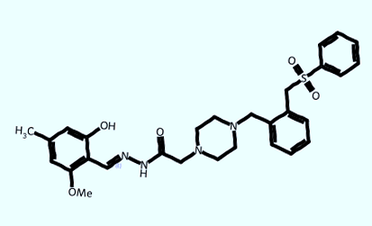 COc1cc(C)cc(O)c1/C=N/NC(=O)CN1CCN(Cc2ccccc2CS(=O)(=O)c2ccccc2)CC1